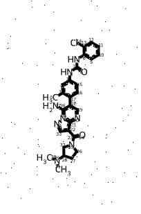 Cc1cc(NC(=O)Nc2ccccc2Cl)ccc1-c1cnc2c(C(=O)N3CCC(N(C)C)C3)cnn2c1N